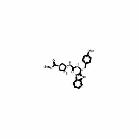 COc1ccc(C[C@@H](NC(=O)N[C@H]2CN(C(=O)OC(C)(C)C)C[C@H]2F)c2nc3ccccc3[nH]2)cc1